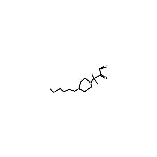 CCCCCCN1CCN(C(C)(C)C(=O)C=O)CC1